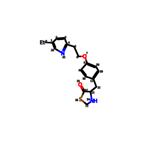 CCc1ccc(CCOc2ccc(CC3NCSC3=O)cc2)nc1